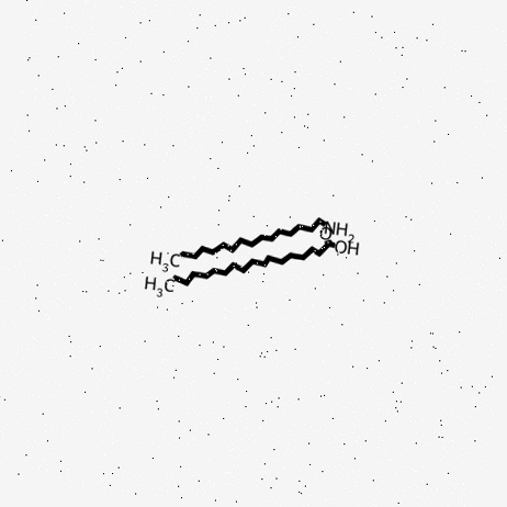 CCCCCCCCCCCCCCCCCC(=O)O.CCCCCCCCCCCCCCCCN